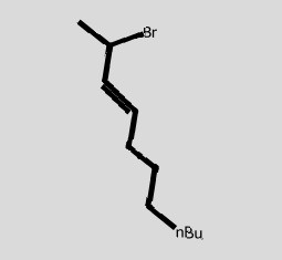 CCCCCCCC=CC(C)Br